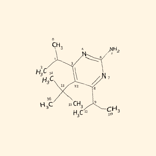 CC(C)c1nc(N)nc(C(C)C)c1C(C)(C)C